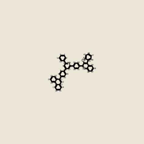 c1ccc(-c2cc(-c3ccc(-c4cc5ccccc5c5ccccc45)cc3)cc(-c3ccc(-c4nc5ccccc5c5c4oc4ccccc45)cc3)n2)cc1